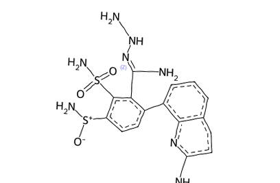 NN/N=C(\N)c1c(-c2cccc3ccc(N)nc23)ccc([S+](N)[O-])c1S(N)(=O)=O